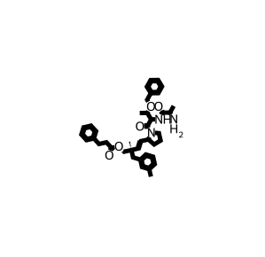 Cc1cccc(C[C@](C)(/C=C/C2CCCN2C(=O)C(NC(=O)C(C)N)C(C)OCc2ccccc2)COC(=O)CCc2ccccc2)c1